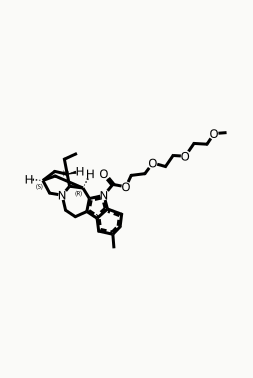 CC[C@H]1C[C@H]2C[C@H]3c4c(c5cc(C)ccc5n4C(=O)OCCOCCOCCOC)CCN(C2)C13